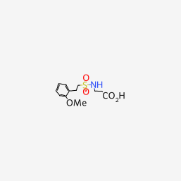 COc1ccccc1CCS(=O)(=O)NCCC(=O)O